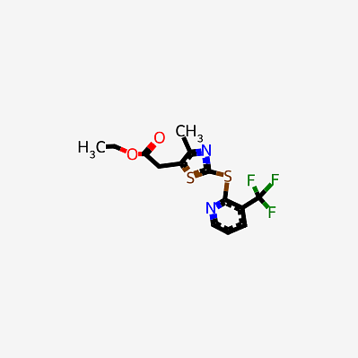 CCOC(=O)Cc1sc(Sc2ncccc2C(F)(F)F)nc1C